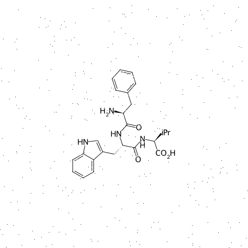 CC(C)[C@H](NC(=O)[C@H](Cc1c[nH]c2ccccc12)NC(=O)[C@@H](N)Cc1ccccc1)C(=O)O